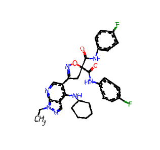 CCn1ncc2c(NC3CCCCC3)c(C3=NOC(C(=O)Nc4ccc(F)cc4)(C(=O)Nc4ccc(F)cc4)C3)cnc21